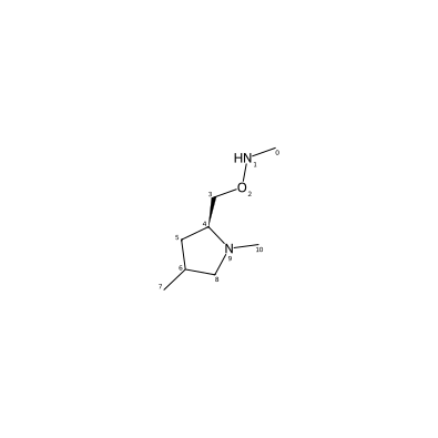 CNOC[C@@H]1CC(C)CN1C